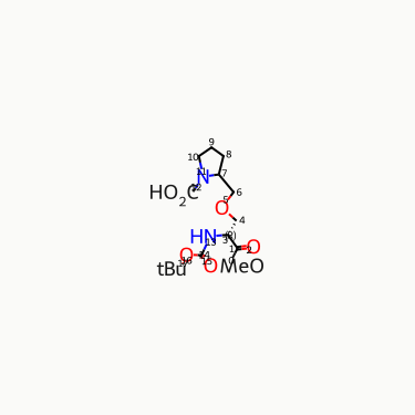 COC(=O)[C@@H](COCC1CCCN1C(=O)O)NC(=O)OC(C)(C)C